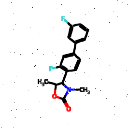 CC1OC(=O)N(C)C1c1ccc(-c2cccc(F)c2)cc1F